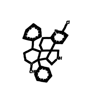 O=CN1CCC(c2ccccc2)CC1(c1ccccc1)C1CNCC12CCCc1nc(Cl)ccc12